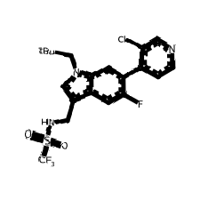 CC(C)(C)Cn1cc(CNS(=O)(=O)C(F)(F)F)c2cc(F)c(-c3ccncc3Cl)cc21